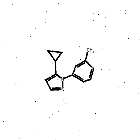 FC(F)(F)c1cccc(-n2nc[c]c2C2CC2)c1